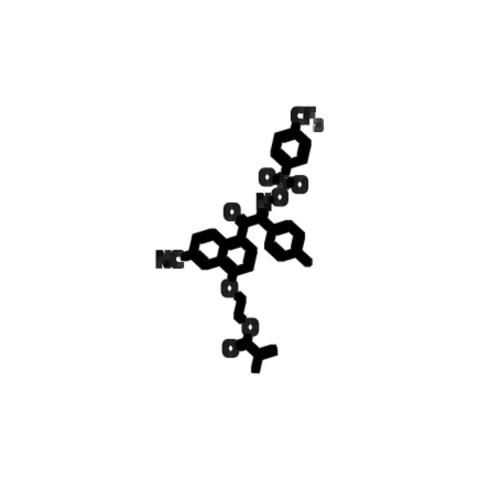 C=C(C)C(=O)OCCOc1ccc(C(=O)/C(=N/OS(=O)(=O)c2ccc(C(F)(F)F)cc2)c2ccc(C)cc2)c2ccc(C#N)cc12